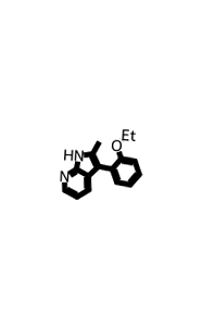 CCOc1ccccc1-c1c(C)[nH]c2ncccc12